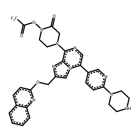 O=C1CN(c2ncc(-c3ccc(N4CCNCC4)nc3)n3cc(COc4ccc5ccccc5n4)nc23)CCN1OC(=O)C(F)(F)F